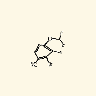 N#Cc1ccc(OC(F)F)c(F)c1Br